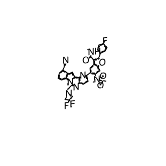 CNC(=O)c1c(-c2ccc(F)cc2)oc2cc(N(C)S(C)(=O)=O)c(-c3ccc4nc(CN5CC(F)(F)C5)n5c6cccc(C#N)c6cc5c4n3)cc12